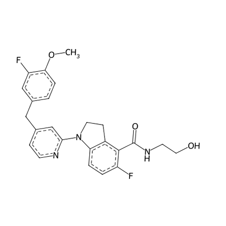 COc1ccc(Cc2ccnc(N3CCc4c3ccc(F)c4C(=O)NCCO)c2)cc1F